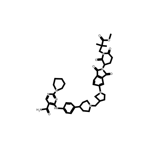 COC(=O)C(C)(C)CN1C(=O)CCC(N2C(=O)c3ccc(N4CCC(CN5CCC(c6ccc(Nc7nc(N8CCCCC8)ncc7C(N)=O)cc6)CC5)C4)cc3C2=O)C1=O